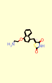 NCCOc1ccc(/C=C2\SC(=O)NC2=O)c2ccccc12